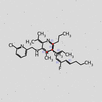 C/C=C(\C=C(F)/C=C/CCC)C(=C\CCC)/N=C(/NCc1cccc(Cl)n1)C(/N=C\C(C)CC)=C(C)C